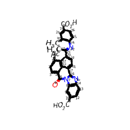 CC(=O)c1ccc2c(=O)n3c4cc(C(=O)O)ccc4nc3c3ccc(/C(C)=N/c4ccc(C(=O)O)cc4C)c1c23